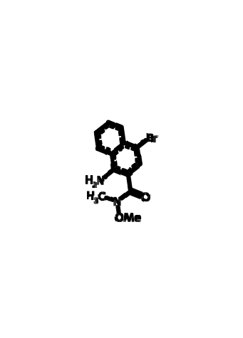 CON(C)C(=O)c1cc(Br)c2ccccc2c1N